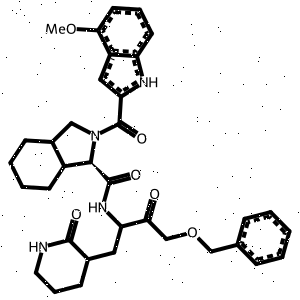 COc1cccc2[nH]c(C(=O)N3CC4CCCCC4[C@@H]3C(=O)NC(CC3CCCNC3=O)C(=O)COCc3ccccc3)cc12